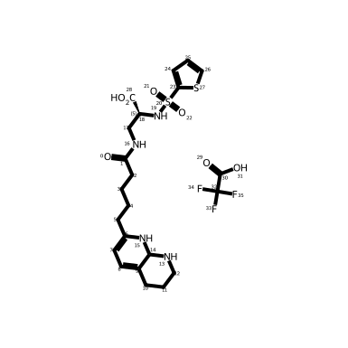 O=C(CCCCC1=CC=C2CCCNC2N1)NC[C@H](NS(=O)(=O)c1cccs1)C(=O)O.O=C(O)C(F)(F)F